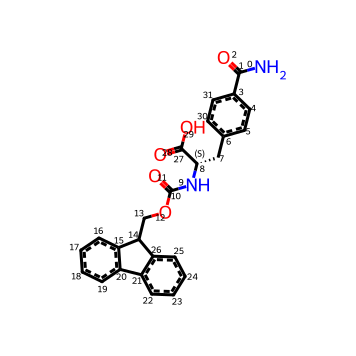 NC(=O)c1ccc(C[C@H](NC(=O)OCC2c3ccccc3-c3ccccc32)C(=O)O)cc1